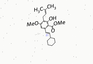 COC(=O)c1c(/C=C/C2CCCCC2)cc(OC)c(CC=C(C)C)c1O